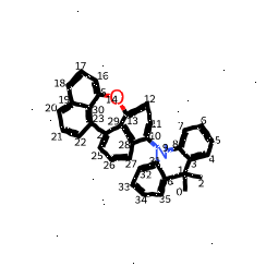 CC1(C)c2ccccc2N(c2ccc3oc4cccc5cccc(c6cccc2c36)c54)c2ccccc21